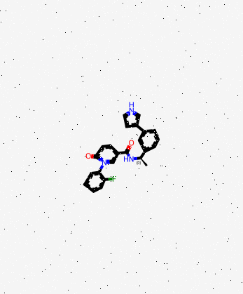 C[C@@H](NC(=O)c1ccc(=O)n(-c2ccccc2F)c1)c1cccc(-c2cc[nH]c2)c1